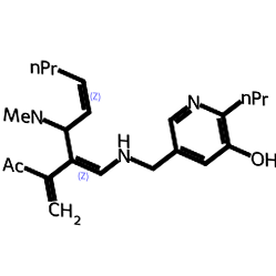 C=C(C(C)=O)/C(=C/NCc1cnc(CCC)c(O)c1)C(/C=C\CCC)NC